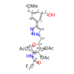 COCc1cc(CO)cc(-c2cn(CC3O[C@@H](OC(C)=O)[C@@H](NC(=O)C(F)(F)F)C(OC(C)=O)[C@@H]3OC(C)=O)nn2)c1